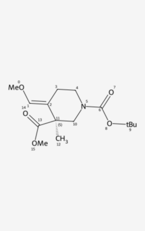 COC=C1CCN(C(=O)OC(C)(C)C)C[C@@]1(C)C(=O)OC